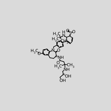 COc1ccc2c(c1)CC[C@@H](NC(=O)CC(C)(C)NC[C@H](O)CO)C(=O)N2Cc1ccc(C2=CC=CC(=S(=O)=O)C2NC(C)(C)C)cc1